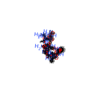 CCCC[C@H](NC)C(=O)N[C@@H](CCCNC(=N)N)C(=O)NC(CSCC(=O)N[C@@H](Cc1ccc(O)cc1)C(=O)N(C)[C@@H](C)C(=O)N[C@@H](CC(N)=O)C(=O)N1CCC[C@H]1C(=O)N[C@@H](Cc1cnc[nH]1)C(=O)N[C@@H](CCC)C(=O)N1CCC[C@H]1C(=O)N[C@@H](Cc1c[nH]c2ccccc12)C(=O)NCC(=O)N[C@@H](Cc1c[nH]c2ccccc12)C(=O)N(C)[C@@H](CCCC)C1=CC1)C(=O)NCC(=O)NCC(N)=O